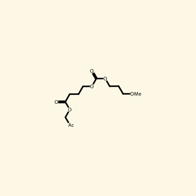 COCCCOC(=O)OCCCC(=O)OCC(C)=O